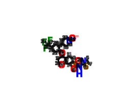 O=S(=O)(Nc1nccs1)c1ccc2c(c1)OCCC2Oc1ccc(C(F)(F)F)cc1-c1cc[n+]([O-])cc1